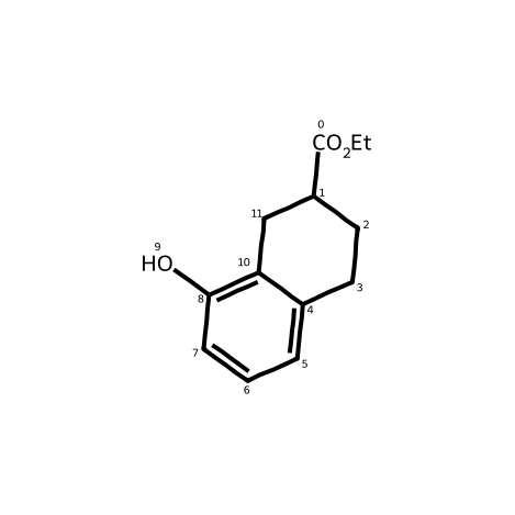 CCOC(=O)C1CCc2cccc(O)c2C1